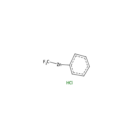 Cl.F[C](F)(F)[Zn][c]1ccccc1